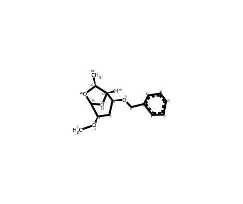 CO[C@@H]1C[C@H](OCc2ccccc2)[C@@H]2OC1O[C@H]2C